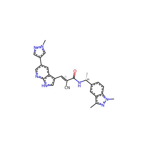 Cc1nn(C)c2ccc([C@@H](C)NC(=O)/C(C#N)=C/c3c[nH]c4ncc(-c5cnn(C)c5)cc34)cc12